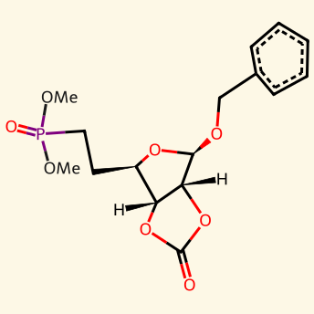 COP(=O)(CC[C@H]1O[C@@H](OCc2ccccc2)[C@@H]2OC(=O)O[C@@H]21)OC